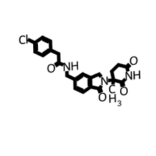 CC1(N2Cc3cc(CNC(=O)Cc4ccc(Cl)cc4)ccc3C2=O)CCC(=O)NC1=O